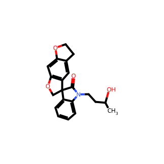 CC(O)CCN1C(=O)C2(COc3cc4c(cc32)CCO4)c2ccccc21